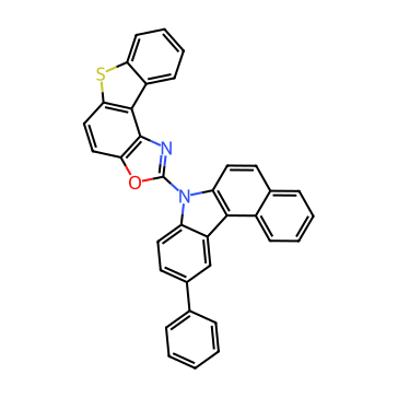 c1ccc(-c2ccc3c(c2)c2c4ccccc4ccc2n3-c2nc3c(ccc4sc5ccccc5c43)o2)cc1